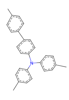 Cc1ccc(-c2ccc(N(c3ccc(C)cc3)c3ccc(C)cc3)cc2)cc1